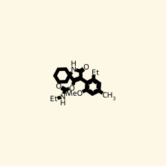 CCNC(=O)OC1=C(c2c(CC)cc(C)cc2OC)C(=O)NC12CCCCC2